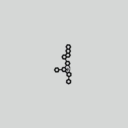 c1ccc(-c2ccc3c(c2)c2cc(-c4ccccc4)cc4c2n3Cc2ccc(-c3cccc5c3ccc3cc6ccccc6cc35)cc2-4)cc1